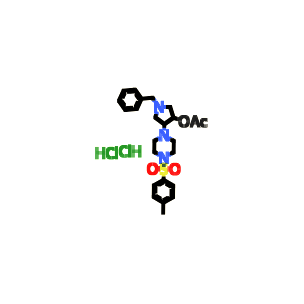 CC(=O)OC1CN(Cc2ccccc2)CC1N1CCN(S(=O)(=O)c2ccc(C)cc2)CC1.Cl.Cl